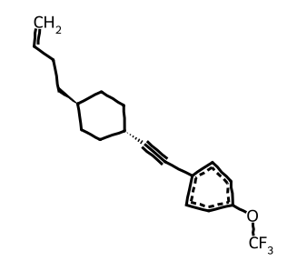 C=CCC[C@H]1CC[C@H](C#Cc2ccc(OC(F)(F)F)cc2)CC1